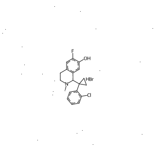 Br.CN1CCc2cc(F)c(O)cc2C1C1(c2ccccc2Cl)CC1